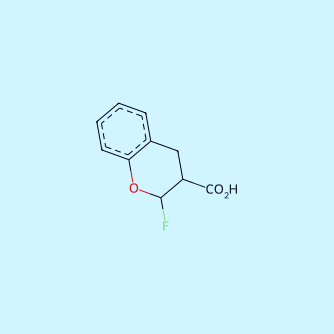 O=C(O)C1Cc2ccccc2OC1F